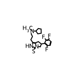 CN(CCCc1[nH]c(=S)n2c1CC(c1c(F)ccc(F)c1F)C2)C1CCCC1